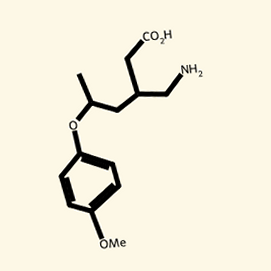 COc1ccc(OC(C)CC(CN)CC(=O)O)cc1